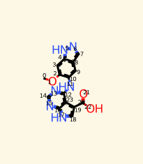 COc1cc2[nH]ncc2cc1Nc1ncnc2[nH]cc(C(=O)O)c12